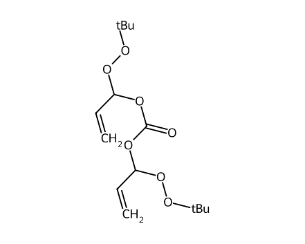 C=CC(OOC(C)(C)C)OC(=O)OC(C=C)OOC(C)(C)C